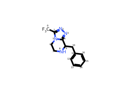 FC(F)(F)c1nnc2n1CCNC2Cc1ccccc1